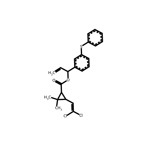 C=CC(OC(=O)C1C(C=C(Cl)Cl)C1(C)C)c1cccc(Sc2ccccc2)c1